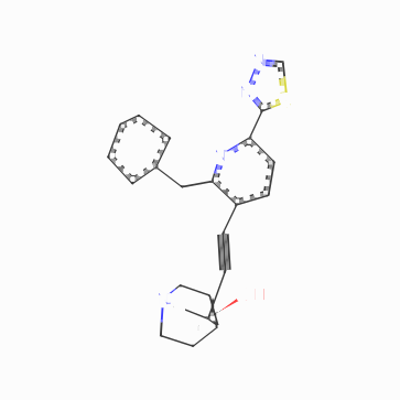 O[C@]1(C#Cc2ccc(-c3nncs3)nc2Cc2ccccc2)CN2CCC1CC2